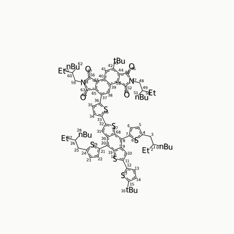 CCCCC(CC)Cc1ccc(-c2c3cc(-c4ccc(C(C)(C)C)s4)sc3c(-c3ccc(CC(CC)CCCC)s3)c3cc(-c4ccc(-c5cc6c(cc(C(C)(C)C)c7c(=O)n(CC(CC)CCCC)c(=O)c76)c6c(=O)n(CC(CC)CCCC)c(=O)c56)s4)sc23)s1